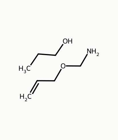 C=CCOCN.CCCO